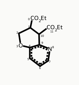 CCOC(=O)C1COc2cccnc2C1C(=O)OCC